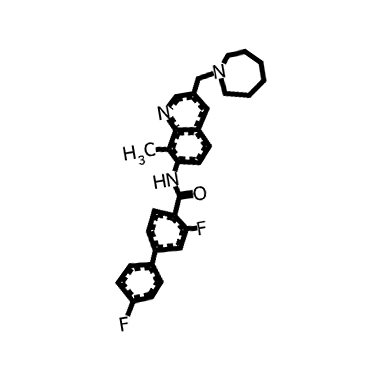 Cc1c(NC(=O)c2ccc(-c3ccc(F)cc3)cc2F)ccc2cc(CN3CCCCCC3)cnc12